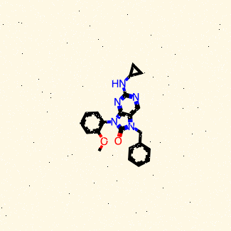 COc1ccccc1-n1c(=O)n(Cc2ccccc2)c2cnc(NC3CC3)nc21